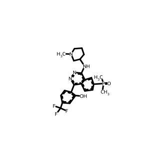 CN1CCCC(Nc2nnc(-c3ccc(C(F)(F)F)cc3O)c3ccc(P(C)(C)=O)cc23)C1